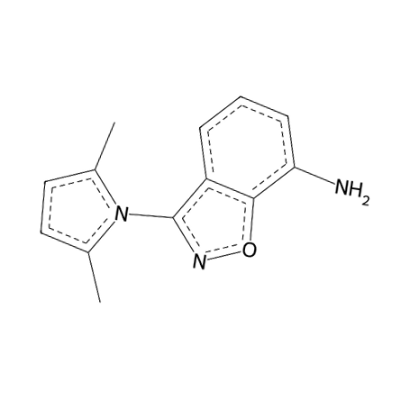 Cc1ccc(C)n1-c1noc2c(N)cccc12